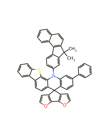 CC1(C)c2cc(N3c4cc(-c5ccccc5)ccc4C4(c5ccoc5-c5occc54)c4ccc5c(sc6ccccc65)c43)ccc2-c2c1ccc1ccccc21